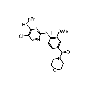 CCCNc1nc(Nc2ccc(C(=O)N3CCOCC3)cc2OC)ncc1Cl